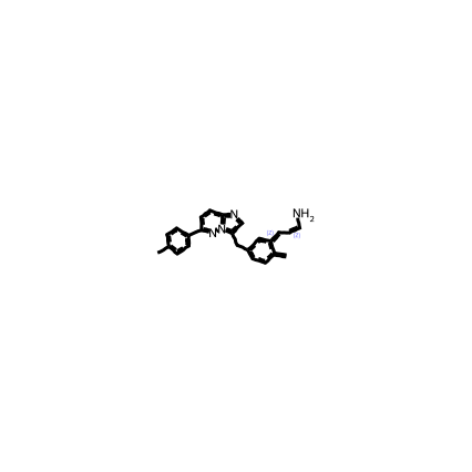 C=c1ccc(Cc2cnc3ccc(-c4ccc(C)cc4)nn23)c/c1=C/C=C\N